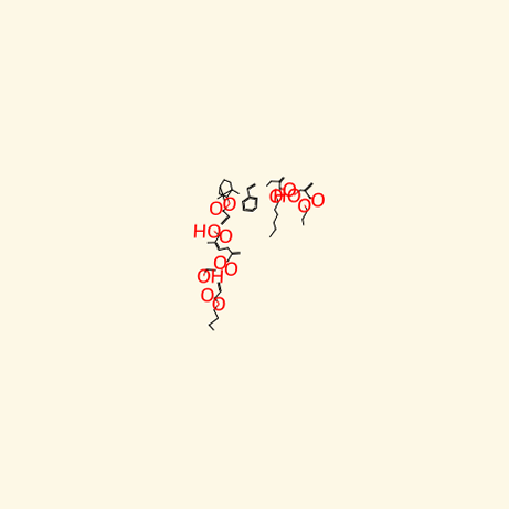 C=C(CC)C(=O)OCCCCCC.C=C(CC=C(C)C(=O)O)C(=O)OCCO.C=C(CO)C(=O)OCCC.C=CC(=O)OC1CC2CCC1(C)C2(C)C.C=CC(=O)OCCCC.C=Cc1ccccc1